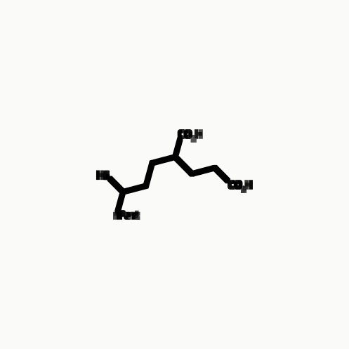 CCCCCC(S)CCC(CCC(=O)O)C(=O)O